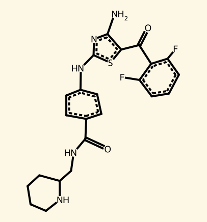 Nc1nc(Nc2ccc(C(=O)NCC3CCCCN3)cc2)sc1C(=O)c1c(F)cccc1F